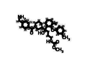 COC(=O)NCCC[C@@](O)(c1cccc(F)c1Oc1cccc(C)c1)[C@@H]1CCCN(C(=O)c2ccc(CN)cc2)C1